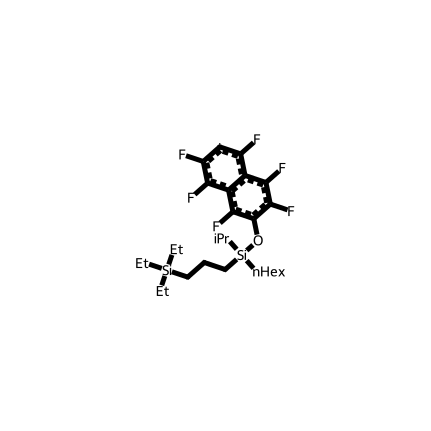 CCCCCC[Si](CCC[Si](CC)(CC)CC)(Oc1c(F)c(F)c2c(F)[c]c(F)c(F)c2c1F)C(C)C